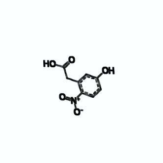 O=C(O)Cc1cc(O)ccc1[N+](=O)[O-]